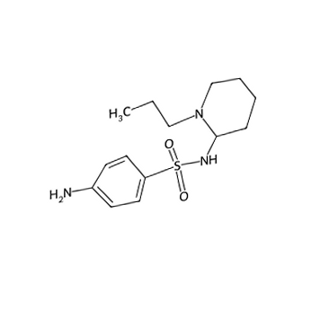 CCCN1CCCCC1NS(=O)(=O)c1ccc(N)cc1